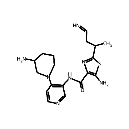 CC(CC=N)c1nc(C(=O)Nc2cnccc2N2CCCC(N)C2)c(N)s1